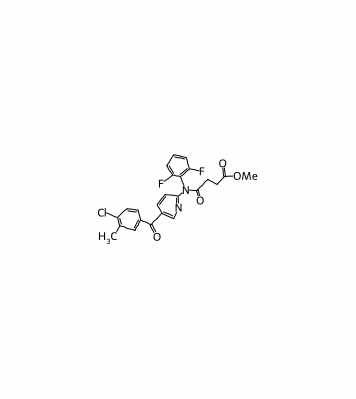 COC(=O)CCC(=O)N(c1ccc(C(=O)c2ccc(Cl)c(C)c2)cn1)c1c(F)cccc1F